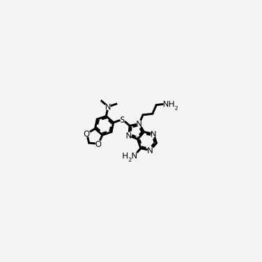 CN(C)c1cc2c(cc1Sc1nc3c(N)ncnc3n1CCCN)OCO2